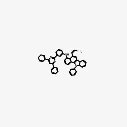 C/C=C\c1cc2c(c3cccc(Nc4cccc(-c5nc(C6=CCCC=C6)cc(-c6ccccc6)n5)c4)c13)N(c1ccccc1)C1C=CC=CC21